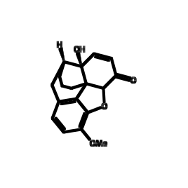 COc1ccc2c3c1OC1C(=O)C=C[C@@]4(O)[C@H](CCCC314)C2